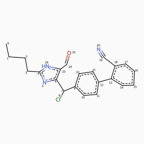 CCCCc1nc(C(Cl)c2ccc(-c3ccccc3C#N)cc2)c(C=O)[nH]1